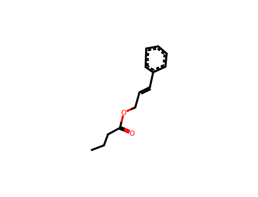 CCCC(=O)OCC=Cc1ccccc1